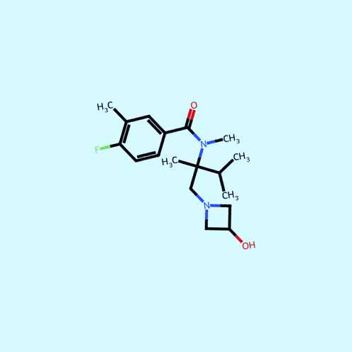 Cc1cc(C(=O)N(C)C(C)(CN2CC(O)C2)C(C)C)ccc1F